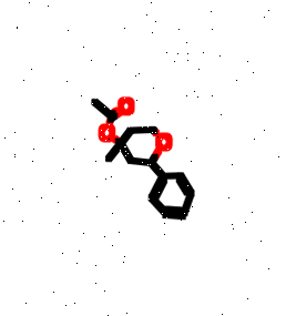 CC(=O)OC1(C)CCOC(c2cc#ccc2)C1